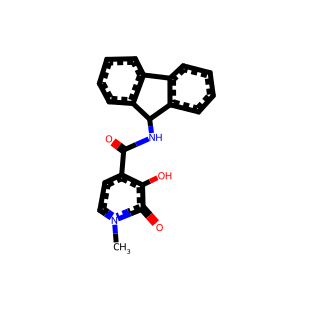 Cn1ccc(C(=O)NC2c3ccccc3-c3ccccc32)c(O)c1=O